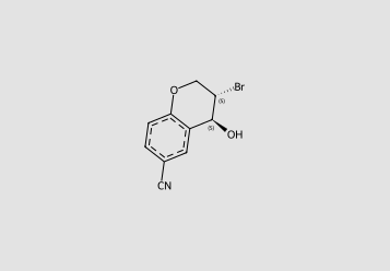 N#Cc1ccc2c(c1)[C@H](O)[C@@H](Br)CO2